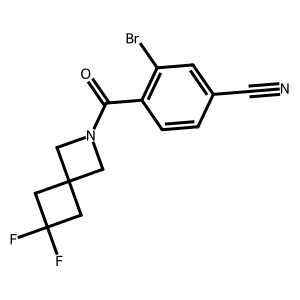 N#Cc1ccc(C(=O)N2CC3(C2)CC(F)(F)C3)c(Br)c1